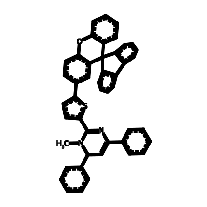 CN1C(c2ccc(-c3ccc4c(c3)C3(c5ccccc5O4)c4ccccc4-c4ccccc43)s2)=NC(c2ccccc2)=CC1c1ccccc1